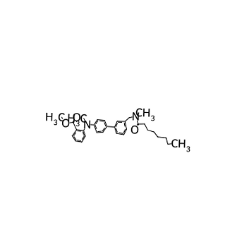 CCCCCCCC(=O)N(C)Cc1cccc(-c2ccc(N(C)c3ccccc3C(=O)OC)cc2)c1